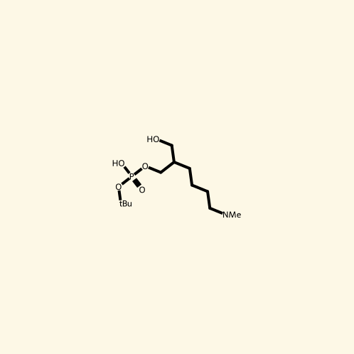 CNCCCCC(CO)COP(=O)(O)OC(C)(C)C